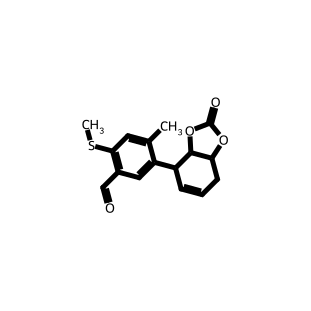 CSc1cc(C)c(C2C=CCC3OC(=O)OC32)cc1C=O